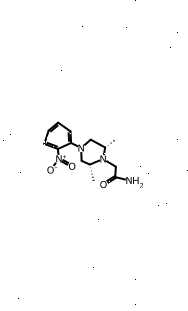 C[C@@H]1CN(c2ccccc2[N+](=O)[O-])C[C@H](C)N1CC(N)=O